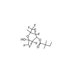 CCC(C)(C)C(=O)OC1C(F)(F)C(O)(C(F)F)OC(C)(C(F)(F)F)C1(F)F